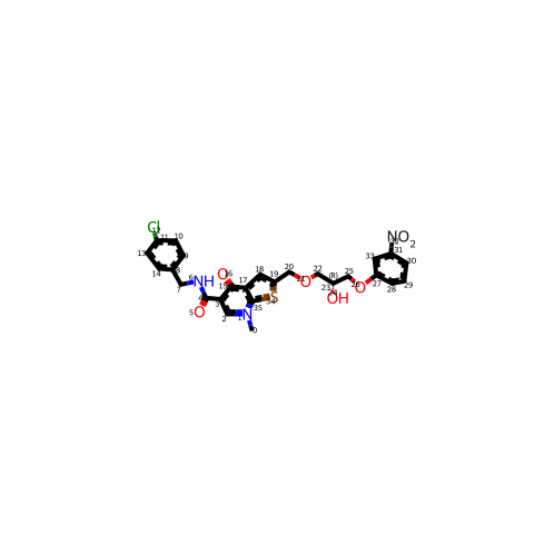 Cn1cc(C(=O)NCc2ccc(Cl)cc2)c(=O)c2cc(COC[C@@H](O)COc3cccc([N+](=O)[O-])c3)sc21